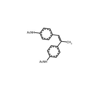 CC(=O)Nc1ccc(C=C(C)c2ccc(NC(C)=O)cc2)cc1